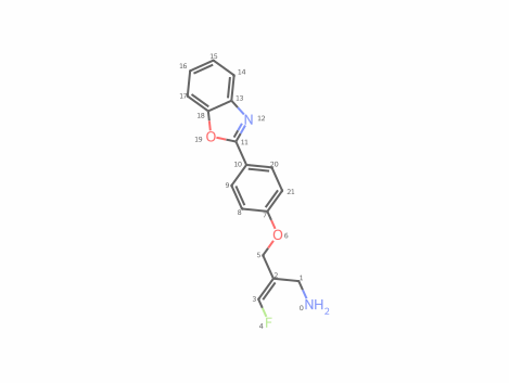 NC/C(=C\F)COc1ccc(-c2nc3ccccc3o2)cc1